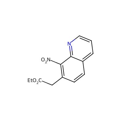 CCOC(=O)Cc1ccc2cccnc2c1[N+](=O)[O-]